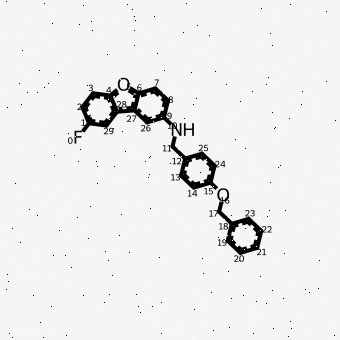 Fc1ccc2oc3ccc(NCc4ccc(OCc5ccccc5)cc4)cc3c2c1